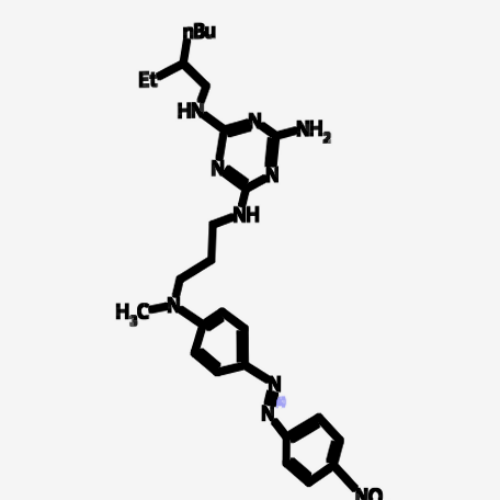 CCCCC(CC)CNc1nc(N)nc(NCCCN(C)c2ccc(/N=N/c3ccc([N+](=O)[O-])cc3)cc2)n1